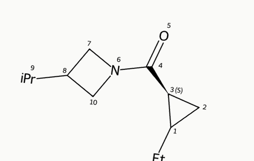 CCC1C[C@@H]1C(=O)N1CC(C(C)C)C1